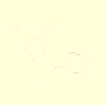 CC(C)Oc1cc(N(C(=O)O)c2ccccc2)ncc1C#N